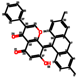 Cc1ccc2c(c1)Cc1cc(C)ccc1C2=C1C(O)=CC(=O)c2c1occ(-c1ccccc1)c2=O